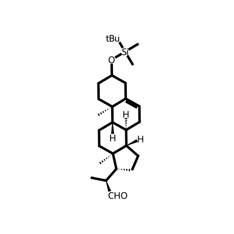 C[C@H](C=O)[C@H]1CC[C@H]2[C@@H]3CC=C4CC(O[Si](C)(C)C(C)(C)C)CC[C@]4(C)[C@H]3CC[C@]12C